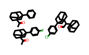 CC(=O)C12CC3CC(C1)CC(c1ccc(F)cc1)(C3)C2.CC(=O)C12CC3CC(C1)CC(c1ccccc1)(C3)C2.O=CC(C12CC3CC(CC(C3)C1)C2)C12CC3CC(CC(c4ccc(Cl)cc4)(C3)C1)C2